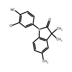 Cc1ccc2c(c1)C(C)(C)C(=O)N2c1ccc(C#N)c(Cl)c1